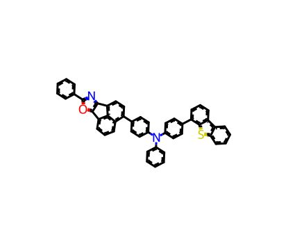 c1ccc(-c2nc3c(o2)-c2cccc4c(-c5ccc(N(c6ccccc6)c6ccc(-c7cccc8c7sc7ccccc78)cc6)cc5)ccc-3c24)cc1